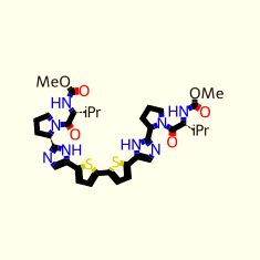 COC(=O)N[C@@H](C(=O)N1CCCC1c1ncc(-c2ccc(-c3ccc(-c4cnc([C@@H]5CCCN5C(=O)[C@H](NC(=O)OC)C(C)C)[nH]4)s3)s2)[nH]1)C(C)C